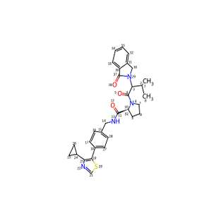 CC(C)C(C(=O)N1CCC[C@H]1C(=O)NCc1ccc(-c2scnc2C2CC2)cc1)N1Cc2ccccc2C1=O